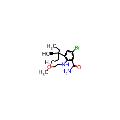 C#CC(CC)(CC)c1cc(Br)cc(C(N)=O)c1NCCOC